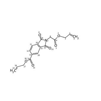 C=CCOC(=O)CN1C(=O)c2ccc(C(=O)OCC=C)cc2C1=O